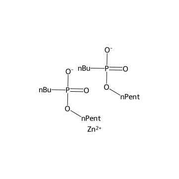 CCCCCOP(=O)([O-])CCCC.CCCCCOP(=O)([O-])CCCC.[Zn+2]